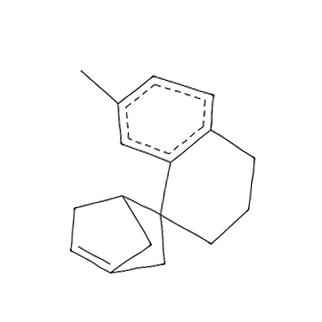 Cc1ccc2c(c1)C1(CCC2)CC2=CCC1C2